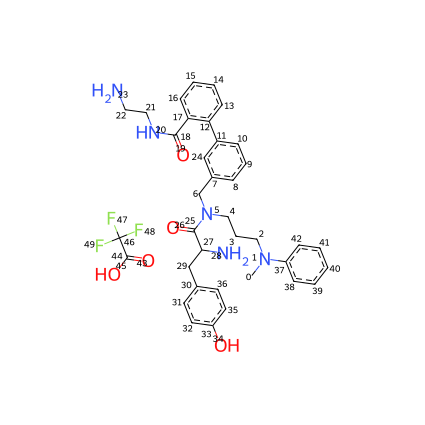 CN(CCCN(Cc1cccc(-c2ccccc2C(=O)NCCN)c1)C(=O)C(N)Cc1ccc(O)cc1)c1ccccc1.O=C(O)C(F)(F)F